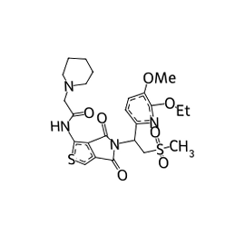 CCOc1nc(C(CS(C)(=O)=O)N2C(=O)c3csc(NC(=O)CN4CCCCC4)c3C2=O)ccc1OC